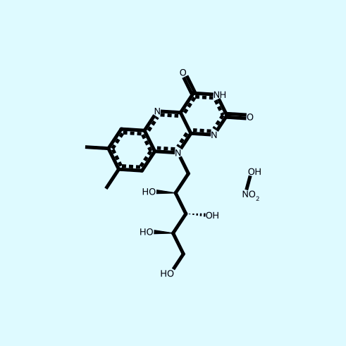 Cc1cc2nc3c(=O)[nH]c(=O)nc-3n(C[C@H](O)[C@H](O)[C@H](O)CO)c2cc1C.O=[N+]([O-])O